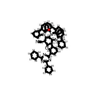 N#Cc1c(-n2c3ccccc3c3ccccc32)c(-n2c3ccccc3c3ccccc32)c(-n2c3ccccc3c3ccccc32)c2c1oc1c(-c3nc(-c4ccccc4)nc(-c4ccccc4)n3)cccc12